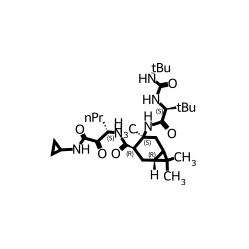 CCC[C@H](NC(=O)[C@@H]1C[C@@H]2C(C[C@]1(C)NC(=O)[C@@H](NC(=O)NC(C)(C)C)C(C)(C)C)C2(C)C)C(=O)C(=O)NC1CC1